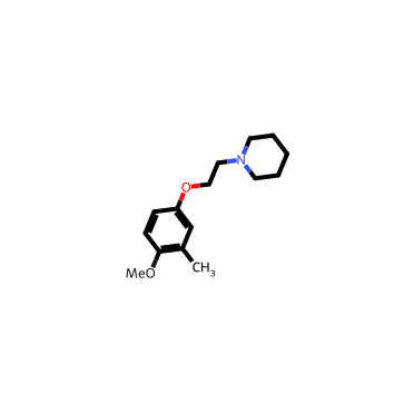 COc1ccc(OCCN2CCCCC2)cc1C